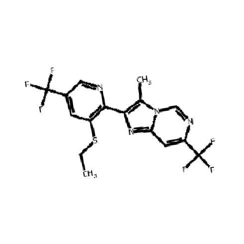 CCSc1cc(C(F)(F)F)cnc1-c1nc2cc(C(F)(F)F)ncn2c1C